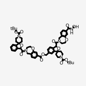 CC(C)(C)OC(=O)N1CCC2(CC1)OC(C(=O)N1CCOc3cc(C(=O)OCc4ccc5c(c4)C4(CCN(C(=O)OC(C)(C)C)CC4)OC5C(=O)N4CCOc5cc(C(=O)NO)ccc5C4)ccc3C1)c1ccccc12